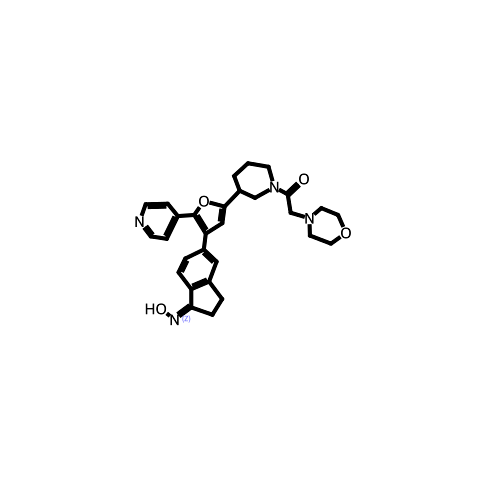 O=C(CN1CCOCC1)N1CCCC(c2cc(-c3ccc4c(c3)CC/C4=N/O)c(-c3ccncc3)o2)C1